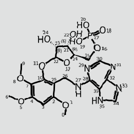 COc1cc(OC)c(OC)c(OC2O[C@H](COP(=O)(O)O)[C@@H](O)[C@H]2O)c1CNc1ncnc2nc[nH]c12